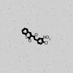 O=C(Cc1ccc(Cl)c([N+](=O)[O-])c1)c1cc2ccccc2sc1=O